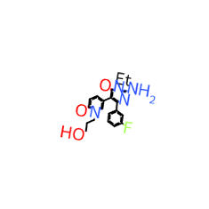 CCn1c(N)nc(-c2cccc(F)c2)c(-c2ccc(=O)n(CCCO)c2)c1=O